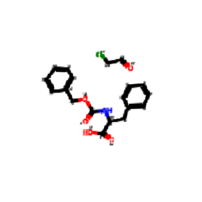 O=C(N[C@@H](Cc1ccccc1)C(=O)O)OCc1ccccc1.O=CCCl